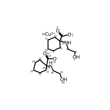 O=C([O-])C1(NCCO)CCCCC1.O=C([O-])C1(NCCO)CCCCC1.[Cu+2]